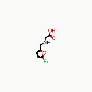 O=C(O)CNCc1ccc(Br)o1